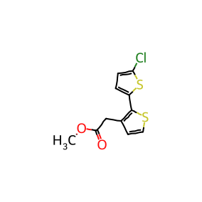 COC(=O)Cc1ccsc1-c1ccc(Cl)s1